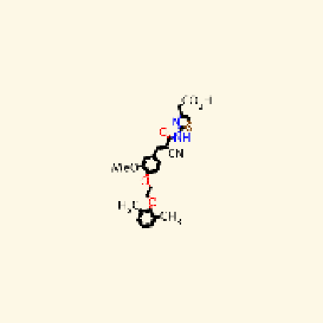 COc1cc(/C=C(\C#N)C(=O)Nc2nc(CC(=O)O)cs2)ccc1OCCOc1c(C)cccc1C